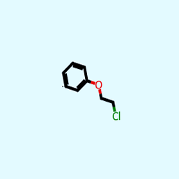 ClCCOc1c[c]ccc1